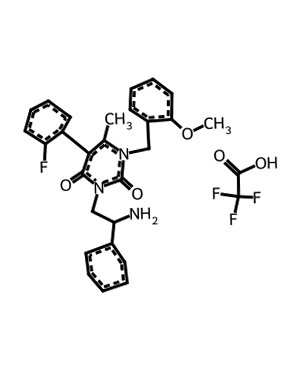 COc1ccccc1Cn1c(C)c(-c2ccccc2F)c(=O)n(CC(N)c2ccccc2)c1=O.O=C(O)C(F)(F)F